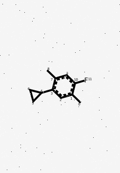 Cc1cc(C2CC2)c(C)cc1F